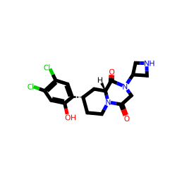 O=C1[C@H]2C[C@@H](c3cc(Cl)c(Cl)cc3O)CCN2C(=O)CN1C1CNC1